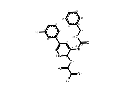 CCC(=O)C(=O)OC1NC=C(c2cccc(F)c2)C=C1NC(=O)OCc1ccccc1